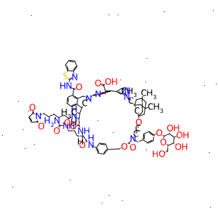 Cc1c2cnn1CC13CC4(C)CC(C)(C1)CC(C4)(C3)OCCN(Cc1ccc(O[C@@H]3O[C@H](CO)[C@@H](O)[C@H](O)[C@H]3O)cc1)C(=O)OCc1ccc(cc1)NC(=O)[C@H](CCCNC(N)=O)NC(=O)[C@@H](NC(=O)CCCCCN1C(=O)C=CC1=O)C(C)C1CN(Cc3c(C(=O)Nc4nc5ccccc5s4)cccc31)c1ccc-2c(C(=O)O)n1